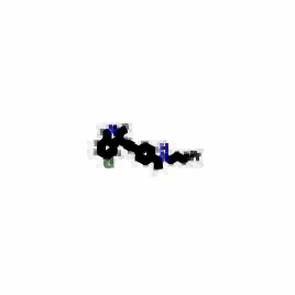 C=C(NCCCC(C)C)c1ccc(C#Cc2c(C)ncc3ccc(Cl)cc23)cc1